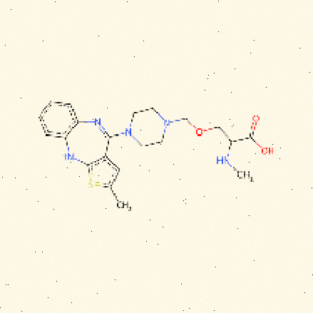 CNC(COCN1CCN(C2=Nc3ccccc3Nc3sc(C)cc32)CC1)C(=O)O